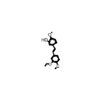 CCOc1cc(C=Cc2ccc(OC)c(O)c2)ccc1OC